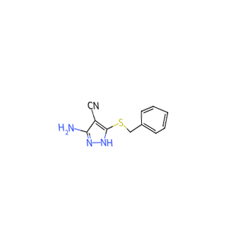 N#Cc1c(N)n[nH]c1SCc1ccccc1